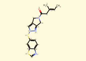 C/C=C(\C)CC(=O)N1Cc2cn(Sc3ccc4ncsc4c3)nc2C1